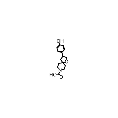 O=C(O)N1CCC2(CC1)CC(c1ccc(O)cc1)CO2